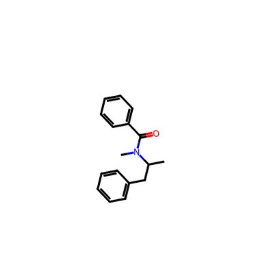 CC(Cc1ccccc1)N(C)C(=O)c1ccccc1